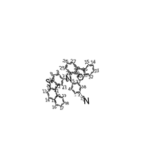 N#Cc1ccc(N(c2ccc3sc4ccc5ccccc5c4c3c2)c2cccc3c2oc2ccccc23)cc1